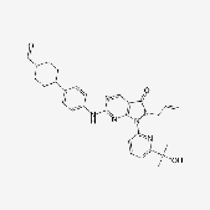 C=CCn1c(=O)c2cnc(Nc3ccc(C4CCC(C=O)CC4)cc3)nc2n1-c1cccc(C(C)(C)O)n1